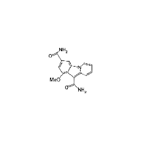 COc1cc(C(N)=O)cc2c1c(C(N)=O)c1ccccn12